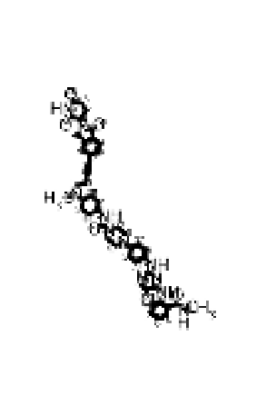 CNC(=O)c1ccccc1Nc1nc(Nc2ccc(N3CCN(C(=O)N[C@H]4CC[C@@H](N(C)CCC#Cc5ccc6c(c5)CN(C5CCC(=O)NC5=O)C6=O)CC4)CC3)cc2)ncc1Cl